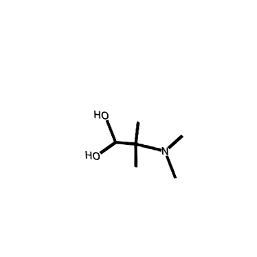 CN(C)C(C)(C)C(O)O